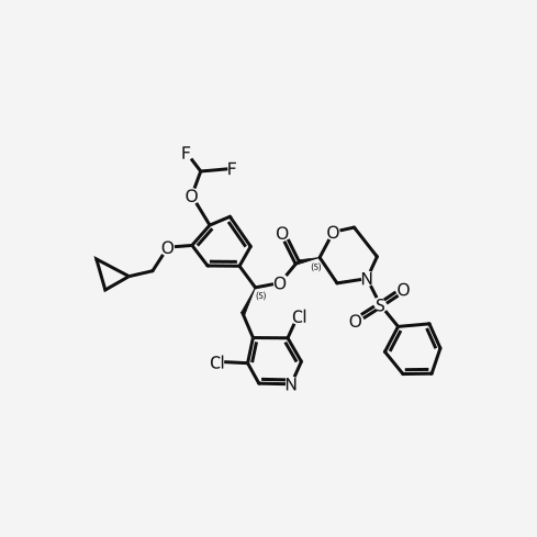 O=C(O[C@@H](Cc1c(Cl)cncc1Cl)c1ccc(OC(F)F)c(OCC2CC2)c1)[C@@H]1CN(S(=O)(=O)c2ccccc2)CCO1